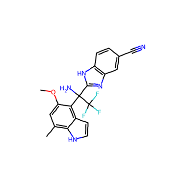 COc1cc(C)c2[nH]ccc2c1C(N)(c1nc2cc(C#N)ccc2[nH]1)C(F)(F)F